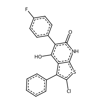 O=c1[nH]c2sc(Cl)c(-c3ccccc3)c2c(O)c1-c1ccc(F)cc1